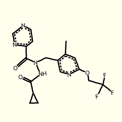 Cc1cc(OCC(F)(F)F)ncc1CN(NC(=O)C1CC1)C(=O)c1ccncn1